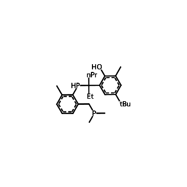 CCCC(CC)(Pc1c(C)cccc1CP(C)C)c1cc(C(C)(C)C)cc(C)c1O